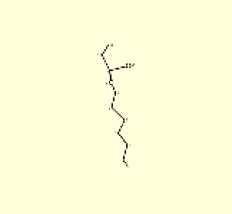 CCCCCCCCC([O])CC